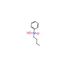 CCCC[N+]([O-])(O)c1ccccc1